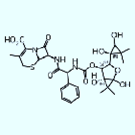 CC1=C(C(=O)O)N2C(=O)C(NC(=O)C(NC(=O)O[C@H]3[C@@H]([C@]4(O)C(O)C4(C)C)OC4(O)C(C)(C)[C@@]34O)c3ccccc3)C2SC1